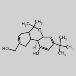 CC(C)(C)C1=CC2OC(C)(C)C3CC=C(CO)CC3[C@@H]2C(O)=C1